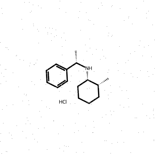 C[C@H](N[C@H]1CCCC[C@H]1C)c1ccccc1.Cl